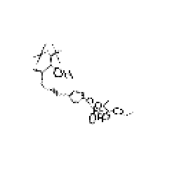 CCOC(=O)[C@H](C)OP(=O)(O)COc1ccc(/C=C/C[C@@H](C)[C@@H](O)C(C(C)(C)C)C(C)(C)C)cc1